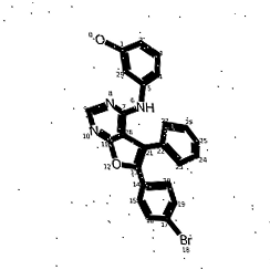 [O]c1cccc(Nc2ncnc3oc(-c4ccc(Br)cc4)c(-c4ccccc4)c23)c1